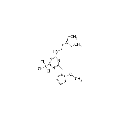 CCN(CC)CCNc1nc(Cc2ccccc2OC)nc(C(Cl)(Cl)Cl)n1